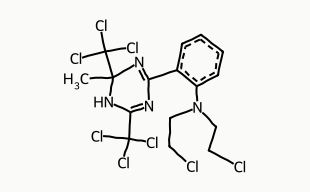 CC1(C(Cl)(Cl)Cl)N=C(c2ccccc2N(CCCl)CCCl)N=C(C(Cl)(Cl)Cl)N1